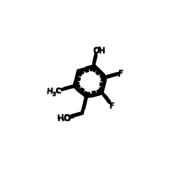 Cc1cc(O)c(F)c(F)c1CO